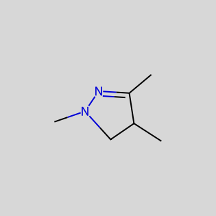 CC1=NN(C)CC1C